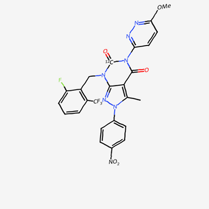 COc1ccc(-n2c(=O)c3c(C)n(-c4ccc([N+](=O)[O-])cc4)nc3n(Cc3c(F)cccc3C(F)(F)F)[12c]2=O)nn1